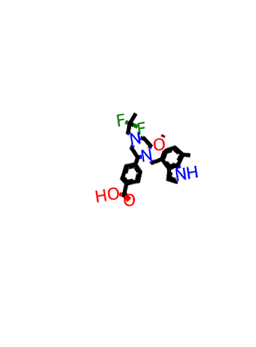 COc1cc(C)c2[nH]ccc2c1CN1CCN(CC(C)(F)F)CC1c1ccc(C(=O)O)cc1